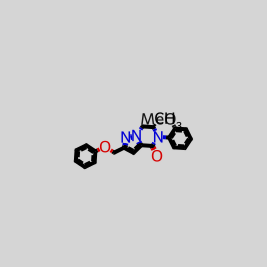 COc1ccccc1N1C(=O)c2cc(COc3ccccc3)nn2C[C@H]1C